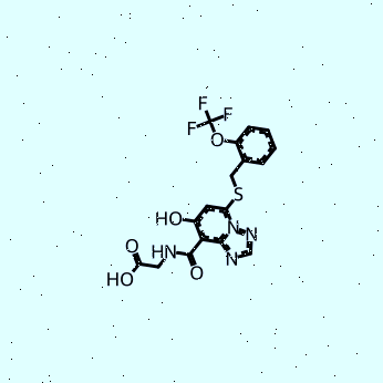 O=C(O)CNC(=O)c1c(O)cc(SCc2ccccc2OC(F)(F)F)n2ncnc12